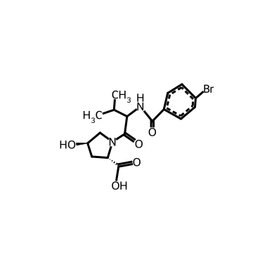 CC(C)C(NC(=O)c1ccc(Br)cc1)C(=O)N1C[C@H](O)C[C@H]1C(=O)O